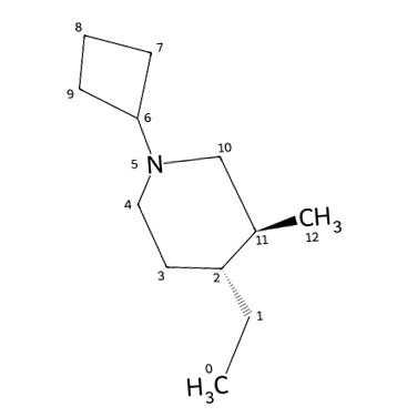 CC[C@@H]1CCN(C2CCC2)C[C@H]1C